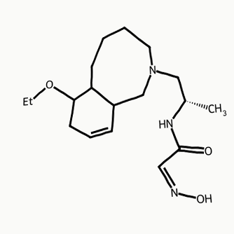 CCOC1CC=CC2CN(C[C@H](C)NC(=O)/C=N\O)CCCCC21